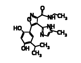 CCNC(=O)c1noc(-c2cc(C(C)C)c(O)cc2O)c1C1=NC=S(C)N1